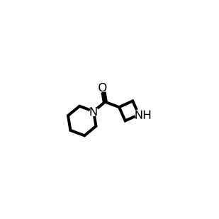 O=C(C1CNC1)N1CCCCC1